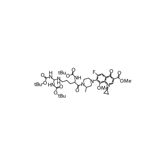 COC(=O)c1cn(C2CC2)c2c(OC)c(N3CCN(C(=O)C(CCCNC(NC(=O)OC(C)(C)C)NC(=O)OC(C)(C)C)NC(=O)OC(C)(C)C)C(C)C3)c(F)cc2c1=O